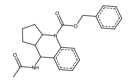 CC(=O)NC1c2ccccc2N(C(=O)OCc2ccccc2)C2CCCC12